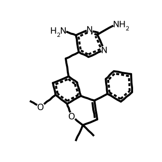 COc1cc(Cc2cnc(N)nc2N)cc2c1OC(C)(C)C=C2c1ccccc1